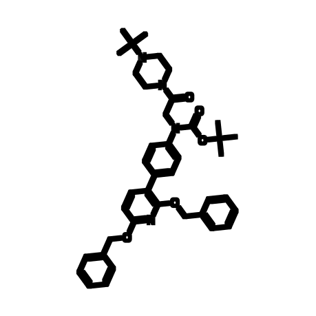 CC(C)(C)OC(=O)N(CC(=O)N1CCN(C(C)(C)C)CC1)c1ccc(-c2ccc(OCc3ccccc3)nc2OCc2ccccc2)cc1